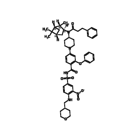 C[C@@H]1[C@@H](N(C(=O)CCc2ccccc2)C2CCN(c3ccc(C(=O)NS(=O)(=O)c4ccc(NCC5CCOCC5)c([N+](=O)[O-])c4)c(Oc4ccccc4)c3)CC2)C[C@H]2C[C@@H]1C2(C)C